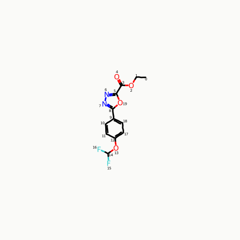 CCOC(=O)c1nnc(-c2ccc(OC(F)F)cc2)o1